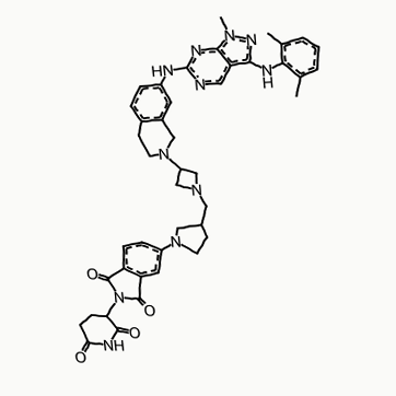 Cc1cccc(C)c1Nc1nn(C)c2nc(Nc3ccc4c(c3)CN(C3CN(CC5CCN(c6ccc7c(c6)C(=O)N(C6CCC(=O)NC6=O)C7=O)C5)C3)CC4)ncc12